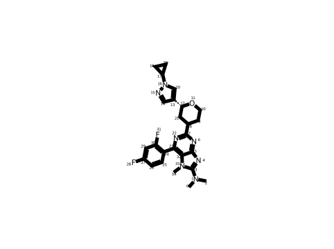 CN(C)c1nc2nc(C3CCO[C@@H](c4cnn(C5CC5)c4)C3)nc(-c3ccc(F)cc3F)c2n1C